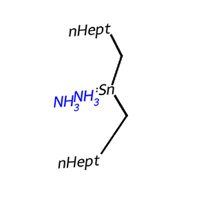 CCCCCCC[CH2][Sn][CH2]CCCCCCC.N.N